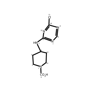 O=C(O)N1CCC(Nc2ncnc(Cl)n2)CC1